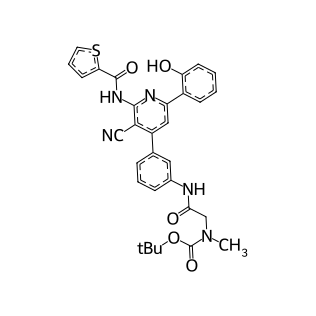 CN(CC(=O)Nc1cccc(-c2cc(-c3ccccc3O)nc(NC(=O)c3cccs3)c2C#N)c1)C(=O)OC(C)(C)C